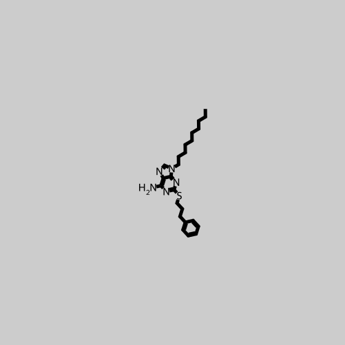 CCCCCCCCCCn1cnc2c(N)nc(SCCCc3ccccc3)nc21